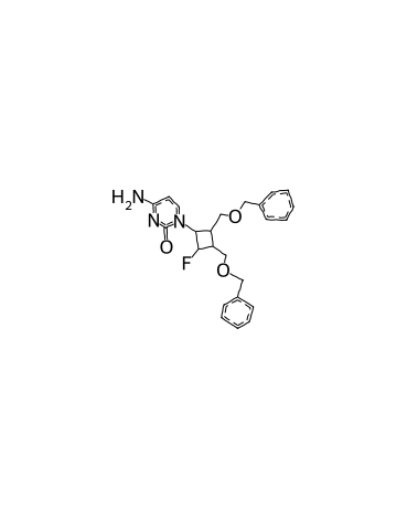 Nc1ccn(C2C(F)C(COCc3ccccc3)C2COCc2ccccc2)c(=O)n1